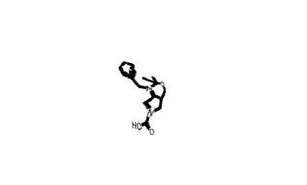 CC1(C)OCC2CN(C(=O)O)CC2N1Cc1ccccc1